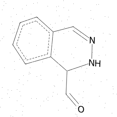 O=CC1NN=Cc2ccccc21